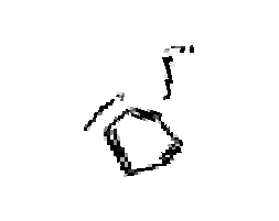 CCC.CO.c1ccccc1